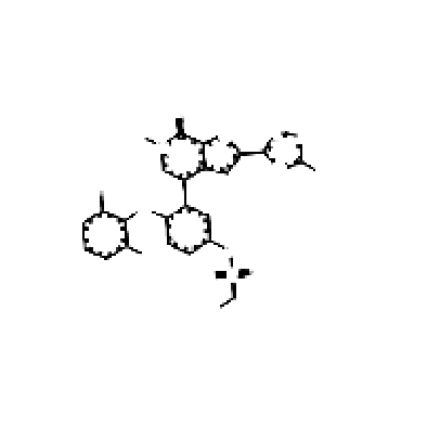 CCS(=O)(=O)Nc1ccc(Oc2c(C)cccc2C)c(-c2cn(C)c(=O)c3oc(-c4nnc(C)o4)cc23)c1